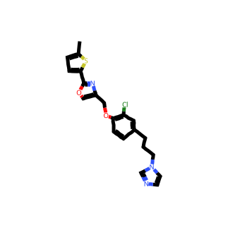 Cc1ccc(-c2nc(COc3ccc(CCCn4ccnc4)cc3Cl)co2)s1